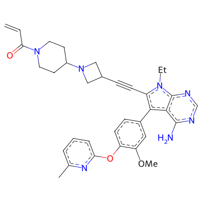 C=CC(=O)N1CCC(N2CC(C#Cc3c(-c4ccc(Oc5cccc(C)n5)c(OC)c4)c4c(N)ncnc4n3CC)C2)CC1